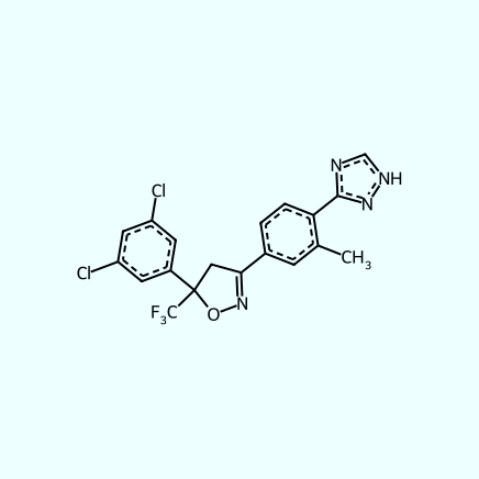 Cc1cc(C2=NOC(c3cc(Cl)cc(Cl)c3)(C(F)(F)F)C2)ccc1-c1nc[nH]n1